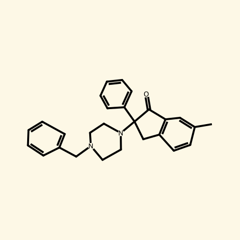 Cc1ccc2c(c1)C(=O)C(c1ccccc1)(N1CCN(Cc3ccccc3)CC1)C2